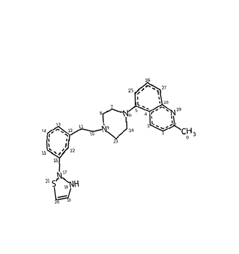 Cc1ccc2c(N3CCN(CCc4cccc(N5NC=CS5)c4)CC3)cccc2n1